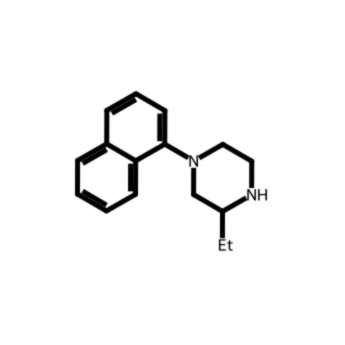 CCC1CN(c2cccc3ccccc23)CCN1